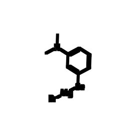 CN(C)c1cccc([Se][Mg][Br])c1